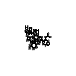 CC(C)CC1COCCN1c1nc2nc(C(=N)NC(=O)O)nc(N[C@H](C)C3CCC3)c2n1C[C@H]1CC[C@H](C)CC1